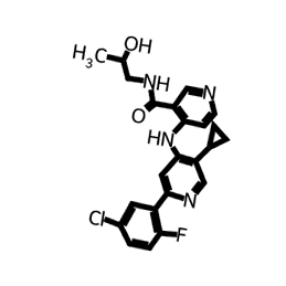 CC(O)CNC(=O)c1cnccc1Nc1cc(-c2cc(Cl)ccc2F)ncc1C1CC1